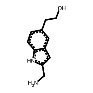 NCc1cc2cc(CCO)ccc2[nH]1